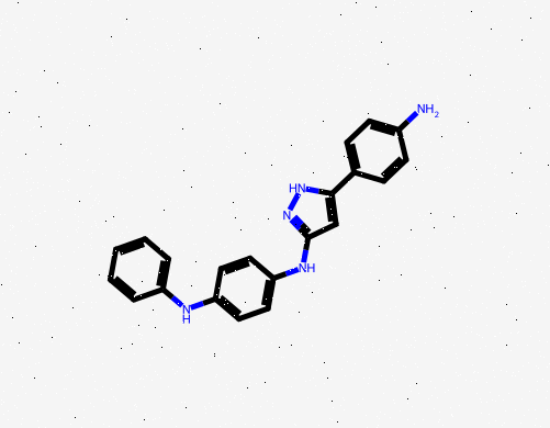 Nc1ccc(-c2cc(Nc3ccc(Nc4ccccc4)cc3)n[nH]2)cc1